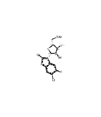 COC[C@H]1O[C@@H](n2c(Cl)nc3cc(Cl)c(Cl)cc32)[C@H](O)[C@@H]1O